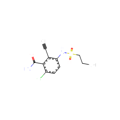 C#Cc1c(NS(=O)(=O)CCC)ccc(Cl)c1C(N)=O